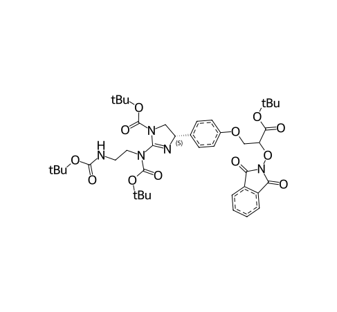 CC(C)(C)OC(=O)NCCN(C(=O)OC(C)(C)C)C1=N[C@@H](c2ccc(OCC(ON3C(=O)c4ccccc4C3=O)C(=O)OC(C)(C)C)cc2)CN1C(=O)OC(C)(C)C